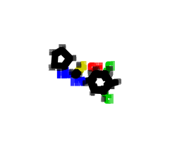 Cc1c(Cl)cc(NC(=S)NC2CCCC2)c(O)c1Cl